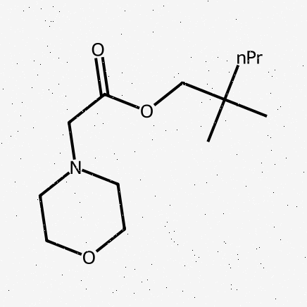 CCCC(C)(C)COC(=O)CN1CCOCC1